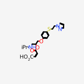 CC(C)NCC(COc1ccc(SCCn2cccn2)cc1)OC(=O)/C=C\C(=O)O